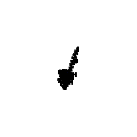 CCCCCCCC(=O)CCCCCC/C=C/[C@H](C(=O)N[C@@H](Cc1ccc(O)cc1)C(=O)O)[C@@](O)(CC(=O)NCCOC)C(=O)O